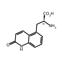 N[C@@H](Cc1cccc2[nH]c(=O)ccc12)C(=O)O